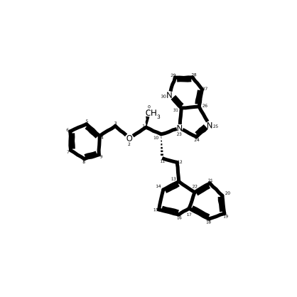 C[C@H](OCc1ccccc1)[C@@H](CCc1cccc2ccccc12)n1cnc2cccnc21